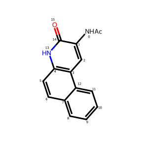 CC(=O)Nc1cc2c(ccc3ccccc32)[nH]c1=O